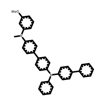 COc1cccc(N(C)c2ccc(-c3ccc(N(c4ccccc4)c4ccc(-c5ccccc5)cc4)cc3)cc2)c1